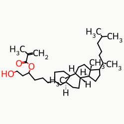 C=C(C)C(=O)OC(CCO)CCC[C@H]1CC[C@@]2(C)[C@@H](CC[C@@H]3[C@@H]2CC[C@]2(C)C([C@H](C)CCCC(C)C)CC[C@@H]32)C1